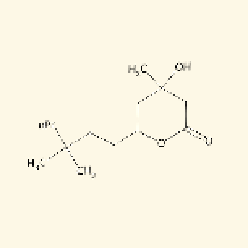 CCCC(C)(C)CCC1CC(C)(O)CC(=O)O1